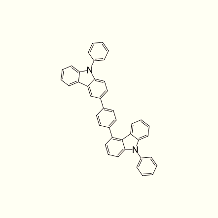 c1ccc(-n2c3ccccc3c3cc(-c4ccc(-c5cccc6c5c5ccccc5n6-c5ccccc5)cc4)ccc32)cc1